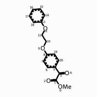 COC(=O)C(=O)c1ccc(OCCOc2ccccc2)cc1